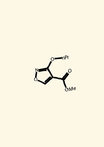 CCCOc1nocc1C(=O)OC